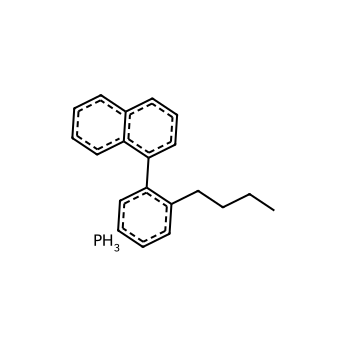 CCCCc1ccccc1-c1cccc2ccccc12.P